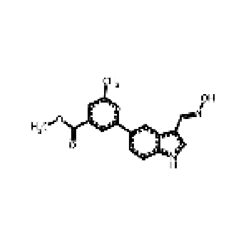 COC(=O)c1cc(C)nc(-c2ccc3[nH]cc(/C=N/O)c3c2)c1